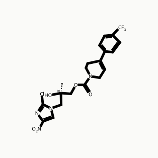 C[C@](O)(COC(=O)N1CC=C(c2ccc(C(F)(F)F)cc2)CC1)Cn1cc([N+](=O)[O-])nc1Cl